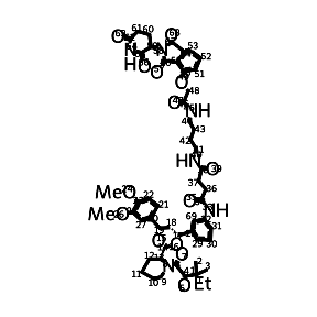 CCC(C)(C)C(=O)C(=O)N1CCCC[C@H]1C(=O)O[C@H](CCc1ccc(OC)c(OC)c1)c1cccc(NC(=O)CCC(=O)NCCCCNC(=O)COc2cccc3c2C(=O)N(C2CCC(=O)NC2=O)C3=O)c1